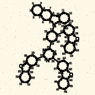 c1ccc2cc3c(cc2c1)c1ccccc1n3-c1ccc(-c2nc(-c3ccc4oc5ccccc5c4c3)nc(-c3ccc4oc5ccccc5c4c3)n2)cc1-c1cccc2oc3ccccc3c12